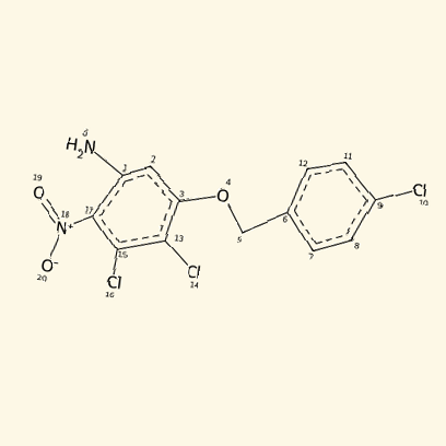 Nc1cc(OCc2ccc(Cl)cc2)c(Cl)c(Cl)c1[N+](=O)[O-]